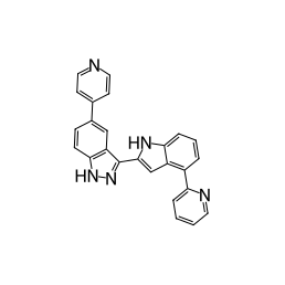 c1ccc(-c2cccc3[nH]c(-c4n[nH]c5ccc(-c6ccncc6)cc45)cc23)nc1